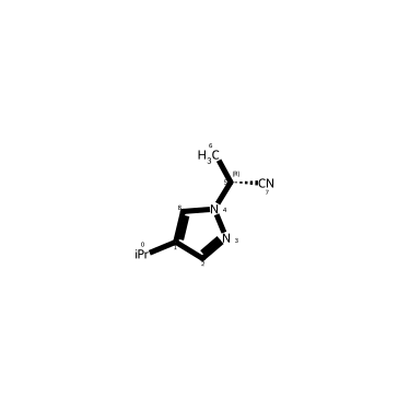 CC(C)c1cnn([C@H](C)C#N)c1